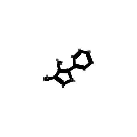 CC(C)c1c(O)noc1-c1ccccc1